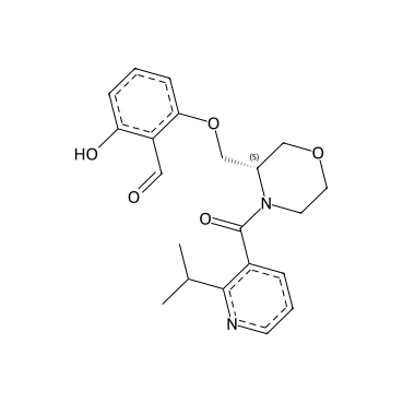 CC(C)c1ncccc1C(=O)N1CCOC[C@H]1COc1cccc(O)c1C=O